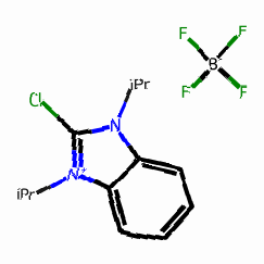 CC(C)n1c(Cl)[n+](C(C)C)c2ccccc21.F[B-](F)(F)F